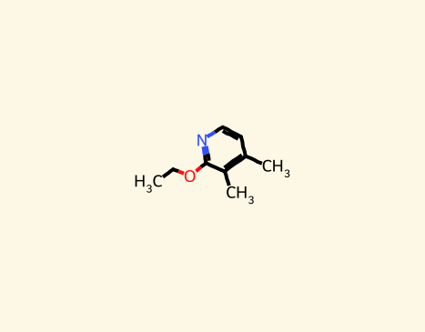 CCOc1nccc(C)c1C